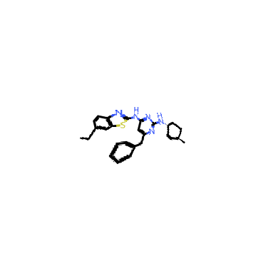 CCc1ccc2nc(Nc3cc(Cc4ccccc4)nc(N[C@H]4CC[C@H](C)CC4)n3)sc2c1